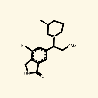 CSCC(c1cc(Br)c2c(c1)C(=O)NC2)N1CCC[C@H](C)C1